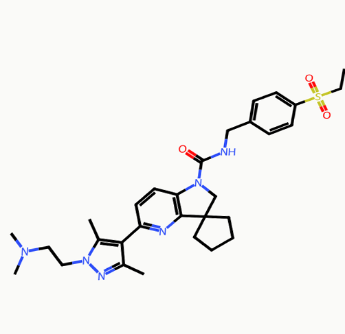 CCS(=O)(=O)c1ccc(CNC(=O)N2CC3(CCCC3)c3nc(-c4c(C)nn(CCN(C)C)c4C)ccc32)cc1